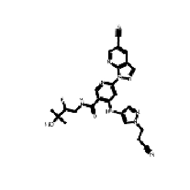 CC(C)(O)C(F)CNC(=O)c1cnc(-n2ncc3cc(C#N)cnc32)cc1Nc1cnn(CCC#N)c1